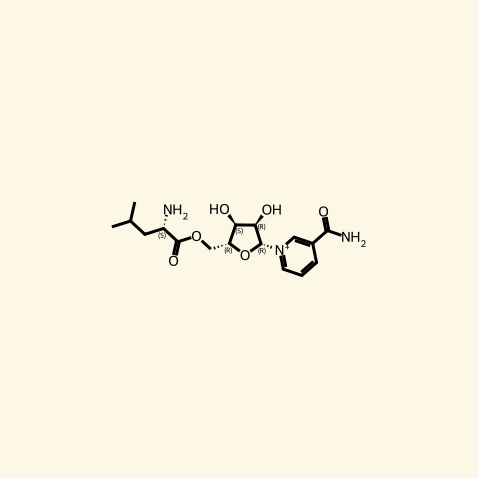 CC(C)C[C@H](N)C(=O)OC[C@H]1O[C@@H]([n+]2cccc(C(N)=O)c2)[C@H](O)[C@@H]1O